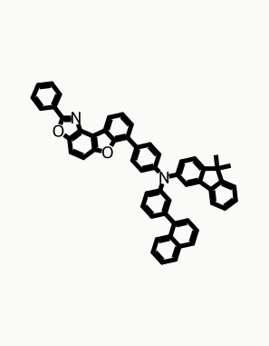 CC1(C)c2ccccc2-c2cc(N(c3ccc(-c4cccc5c4oc4ccc6oc(-c7ccccc7)nc6c45)cc3)c3cccc(-c4cccc5ccccc45)c3)ccc21